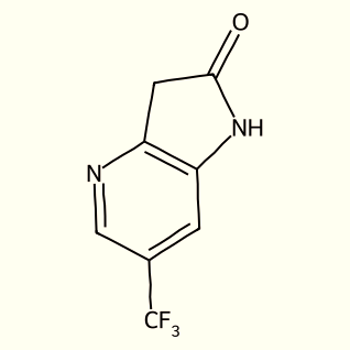 O=C1Cc2ncc(C(F)(F)F)cc2N1